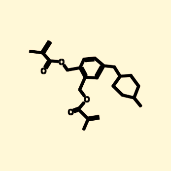 C=C(C)C(=O)OCc1ccc(CC2CCC(C)CC2)cc1COC(=O)C(=C)C